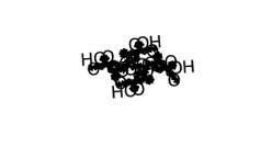 COCCC(C(=O)O)c1ccc(OP(OCCOP(Oc2ccc(C(CCOC)C(=O)O)cc2C(C)(C)C)Oc2ccc(C(CCOC)C(=O)O)cc2C(C)(C)C)Oc2ccc(C(CCOC)C(=O)O)cc2C(C)(C)C)c(C(C)(C)C)c1